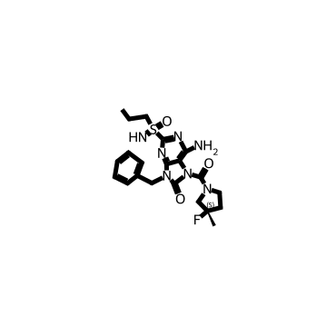 CCCS(=N)(=O)c1nc(N)c2c(n1)n(Cc1ccccc1)c(=O)n2C(=O)N1CC[C@](C)(F)C1